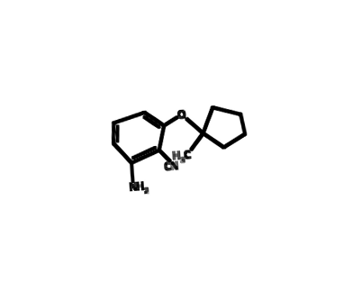 CC1(Oc2cccc(N)c2C#N)CCCC1